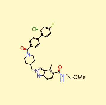 COCCNC(=O)c1ccc2nn(CC3CCN(C(=O)c4ccc(-c5ccc(F)cc5Cl)cc4)CC3)cc2c1C